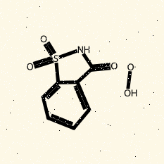 O=C1NS(=O)(=O)c2ccccc21.[O]O